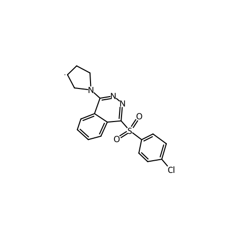 O=S(=O)(c1ccc(Cl)cc1)c1nnc(N2C[CH]CC2)c2ccccc12